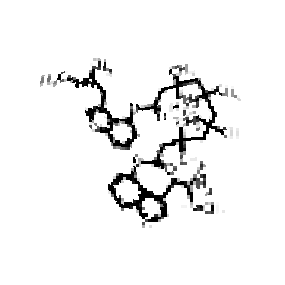 CNC(C)Cc1coc2cccc(OC(=O)CC(C)(C)CC(C)(C)CC(C)(C)CC(C)(C)CC(=O)Oc3cccc4occ(CC(C)NC)c34)c12